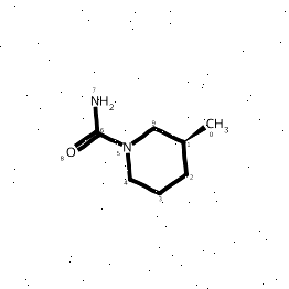 C[C@H]1CCCN(C(N)=O)C1